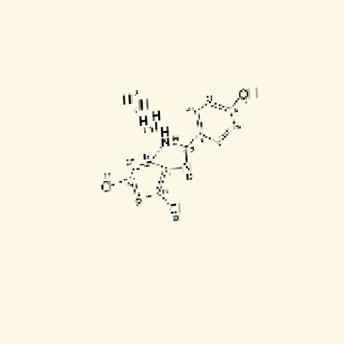 I.I.I.I.Oc1ccc(-c2nc3c(Cl)cc(Cl)cc3[nH]2)cc1